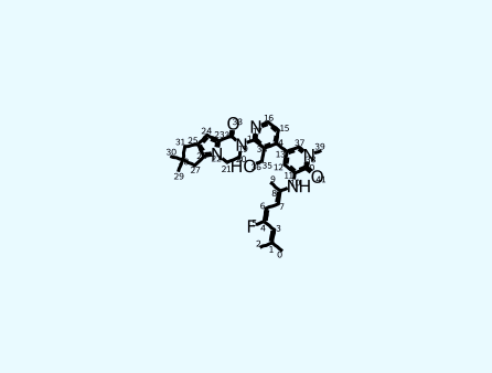 CC(C)=C/C(F)=C\C=C(/C)Nc1cc(-c2ccnc(N3CCn4c(cc5c4CC(C)(C)C5)C3=O)c2CO)cn(C)c1=O